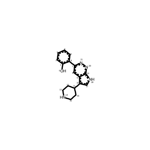 Oc1ccccc1-c1cc2c(C3CCNCC3)c[nH]c2nn1